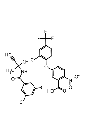 C#CC(C)(C)NC(=O)c1cc(Cl)cc(Cl)c1.O=C(O)c1cc(Oc2ccc(C(F)(F)F)cc2Cl)ccc1[N+](=O)[O-]